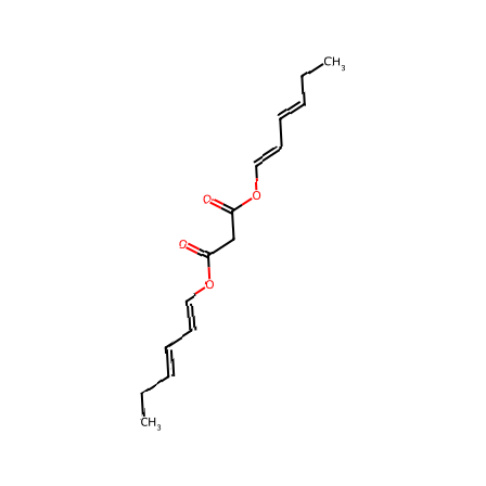 CC/C=C/C=C/OC(=O)CC(=O)O/C=C/C=C/CC